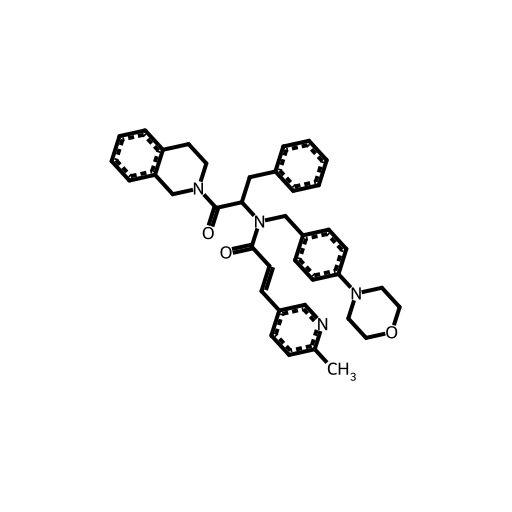 Cc1ccc(C=CC(=O)N(Cc2ccc(N3CCOCC3)cc2)C(Cc2ccccc2)C(=O)N2CCc3ccccc3C2)cn1